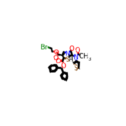 CC(=O)N(c1ccsc1)C1C(=O)N2C=C(C(=O)OCCBr)C(C(=O)OC(c3ccccc3)c3ccccc3)S[C@H]12